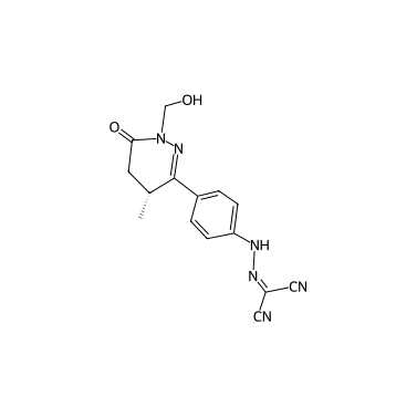 C[C@@H]1CC(=O)N(CO)N=C1c1ccc(NN=C(C#N)C#N)cc1